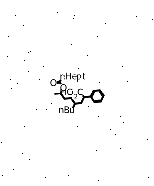 CCCCCCCC(=O)OC(C)CCC(CCCC)CC(C(=O)O)c1ccccc1